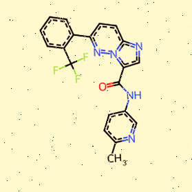 Cc1ccc(NC(=O)c2cnc3ccc(-c4ccccc4C(F)(F)F)nn23)cn1